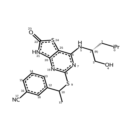 CC(C)C[C@H](CO)Nc1nc(SC(C)c2cccc(C#N)c2)nc2[nH]c(=O)sc12